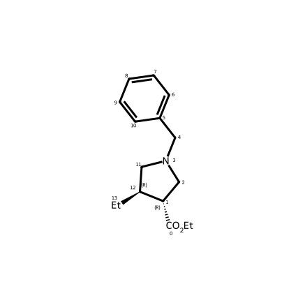 CCOC(=O)[C@H]1CN(Cc2ccccc2)C[C@@H]1CC